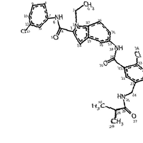 CCn1c(C(=O)Nc2cccc(Cl)c2)cc2cc(NC(=O)c3cc(CNC(=O)C(C)C)ccc3Cl)ccc21